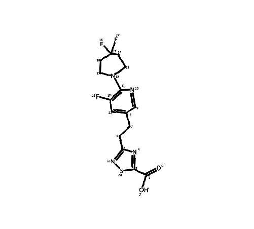 O=C(O)c1nc(CCc2cnc(N3CCC(F)(F)CC3)c(F)c2)ns1